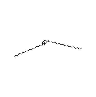 CCCCCCCCCCCCCCCCCCC[n+]1ccn(CCCCCCCCCCCCCCCCC)c1